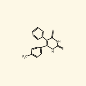 O=c1[nH]c(=S)[nH]c(-c2ccc(C(F)(F)F)cc2)c1-c1ccccc1